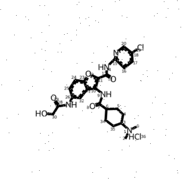 CN(C)C1CCC(C(=O)Nc2c(C(=O)Nc3ccc(Cl)cn3)oc3ccc(NC(=O)CO)cc23)CC1.Cl